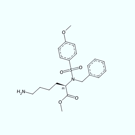 COC(=O)[C@@H](CCCCN)N(Cc1ccccc1)S(=O)(=O)c1ccc(OC)cc1